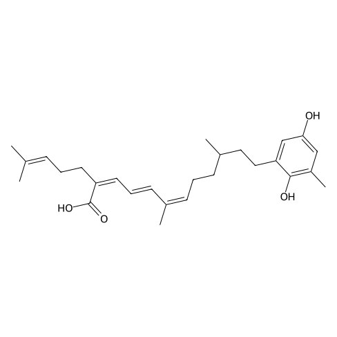 CC(C)=CCCC(=CC=CC(C)=CCCC(C)CCc1cc(O)cc(C)c1O)C(=O)O